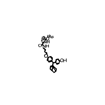 CC(C)C[C@H](NC(=O)OC(C)(C)C)C(=O)NCCCCOc1ccc(C(=C2C3CC4CC(C3)CC2C4)c2ccc(O)cc2)cc1